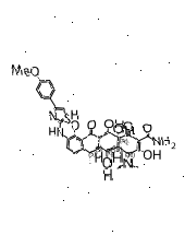 COc1ccc(-c2csc(Nc3ccc4c(c3O)C(=O)C3=C(O)[C@@]5(O)C(=O)C(C(N)=O)=C(O)[C@H](N(C)C)[C@H]5[C@H](O)[C@@H]3[C@@H]4C)n2)cc1